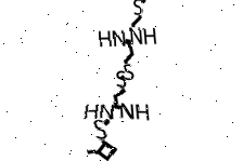 CSCCNC(=N)CCSSCCC(=N)NCSC1CCC1C